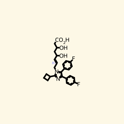 O=C(O)CC(O)CC(O)/C=C/Cn1c(C2CCC2)nc(-c2ccc(F)cc2)c1-c1ccc(F)cc1